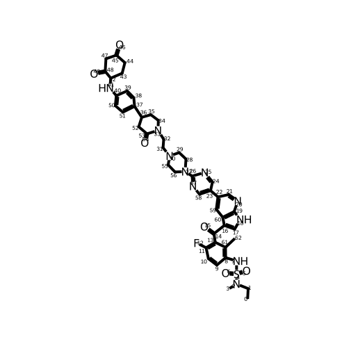 CCN(C)S(=O)(=O)Nc1ccc(F)c(C(=O)c2c[nH]c3ncc(-c4cnc(N5CCN(CCN6CCC(c7ccc(NC8CCC(=O)CC8=O)cc7)CC6=O)CC5)nc4)cc23)c1C